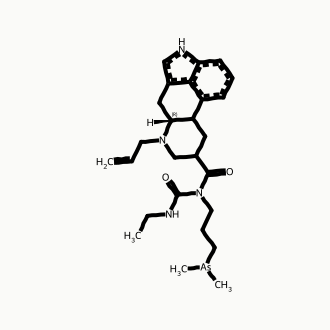 C=CCN1CC(C(=O)N(CCC[As](C)C)C(=O)NCC)CC2c3cccc4[nH]cc(c34)C[C@H]21